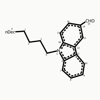 CCCCCCCCCCCCCCn1c2ccccc2c2cc(C=O)ccc21